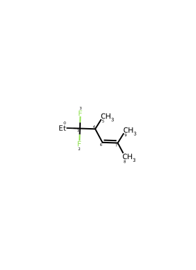 CCC(F)(F)C(C)C=C(C)C